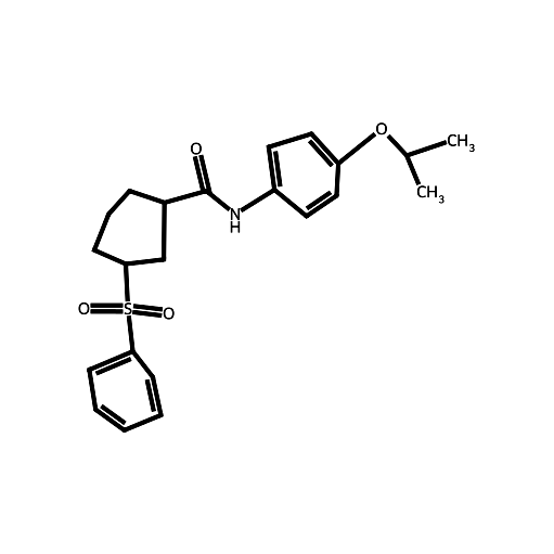 CC(C)Oc1ccc(NC(=O)C2CCCC(S(=O)(=O)c3ccccc3)C2)cc1